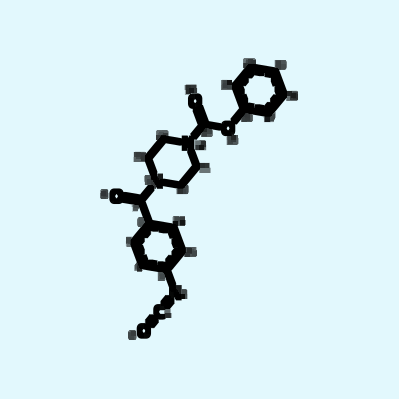 O=C=Nc1ccc(C(=O)N2CCN(C(=O)Oc3ccccc3)CC2)cc1